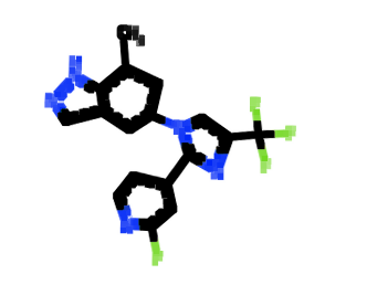 Cc1cc(-n2cc(C(F)(F)F)nc2-c2ccnc(F)c2)cc2cn[nH]c12